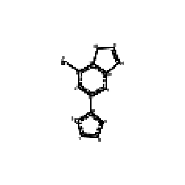 Brc1cc(-c2ccco2)cc2c1CC=C2